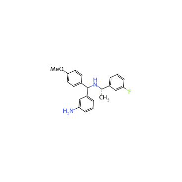 COc1ccc(C(N[C@@H](C)c2cccc(F)c2)c2cccc(N)c2)cc1